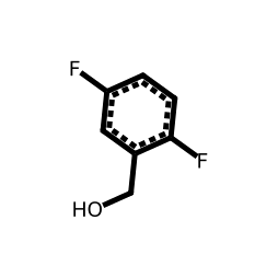 OCc1cc(F)ccc1F